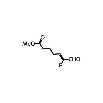 COC(=O)CCCC=C(F)C=O